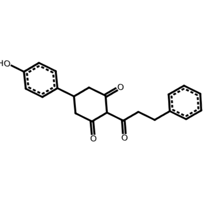 O=C(CCc1ccccc1)C1C(=O)CC(c2ccc(O)cc2)CC1=O